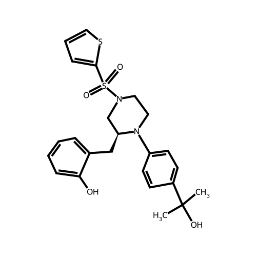 CC(C)(O)c1ccc(N2CCN(S(=O)(=O)c3cccs3)C[C@@H]2Cc2ccccc2O)cc1